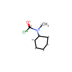 CN(C(=O)Cl)C1CCCCC1